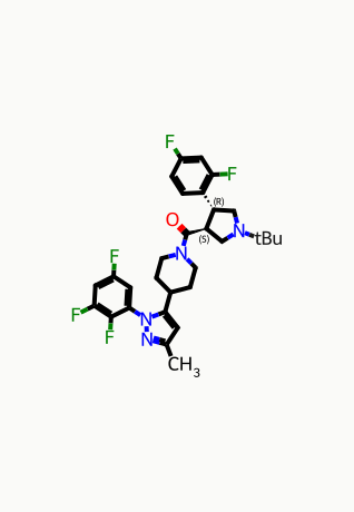 Cc1cc(C2CCN(C(=O)[C@@H]3CN(C(C)(C)C)C[C@H]3c3ccc(F)cc3F)CC2)n(-c2cc(F)cc(F)c2F)n1